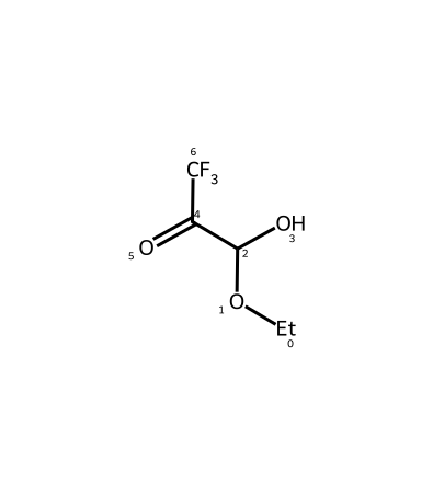 CCOC(O)C(=O)C(F)(F)F